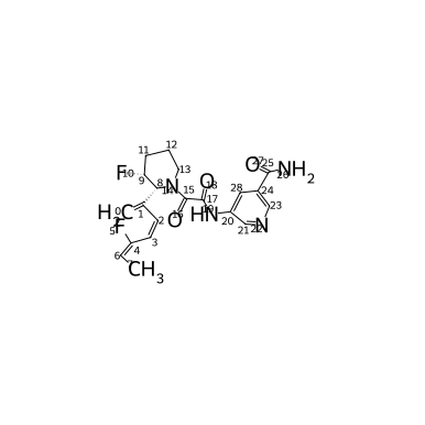 C=C(/C=C\C(F)=C/C)[C@@H]1[C@H](F)CCCN1C(=O)C(=O)Nc1cncc(C(N)=O)c1